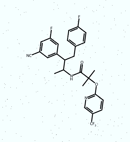 CC(NC(=O)C(C)(C)Oc1ccc(C(F)(F)F)cn1)C(Cc1ccc(F)cc1)c1cc(F)cc(C#N)c1